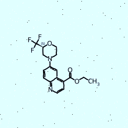 CCOC(=O)c1ccnc2ccc(N3CCO[C@H](C(F)(F)F)C3)cc12